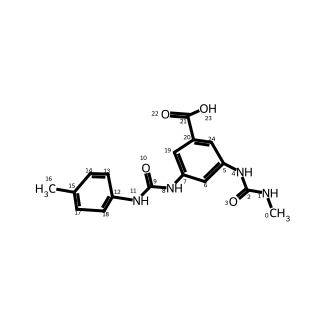 CNC(=O)Nc1cc(NC(=O)Nc2ccc(C)cc2)cc(C(=O)O)c1